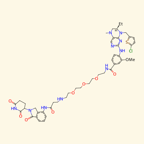 CC[C@@H]1CN(C)c2cnc(Nc3ccc(C(=O)NCCOCCOCCOCCNCCC(=O)Nc4cccc5c4CN(C4CCC(=O)NC4=O)C5=O)cc3OC)nc2N1Cc1ccc(Cl)s1